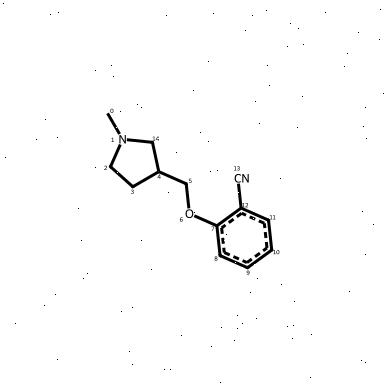 CN1CCC(COc2ccccc2C#N)C1